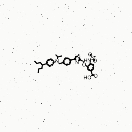 CCCC(CCC)c1ccc(N(Cc2ccc(-c3csc(COc4cc(C(=O)O)ccc4NS(C)(=O)=O)n3)cc2)C(C)C)cc1